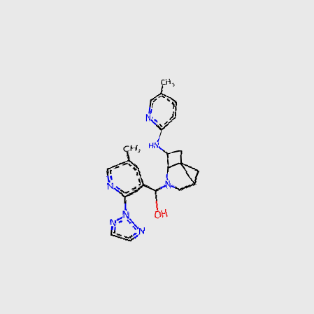 Cc1ccc(NC2CC34CC3CN(C(O)c3cc(C)cnc3-n3nccn3)C24)nc1